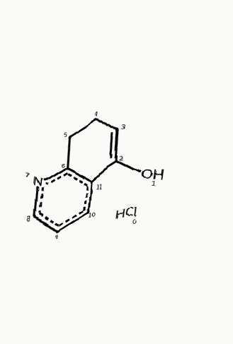 Cl.OC1=CCCc2ncccc21